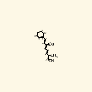 CC(/C=C/C=C(/C=C/C1=CCCCC1)C(C)(C)C)=C\C#N